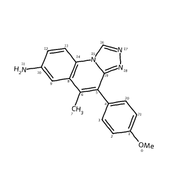 COc1ccc(-c2c(C)c3cc(N)ccc3n3cnnc23)cc1